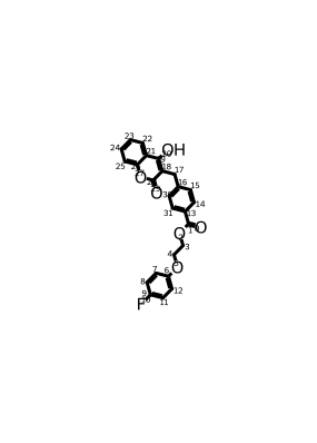 O=C(OCCOc1ccc(F)cc1)c1ccc(Cc2c(O)c3ccccc3oc2=O)cc1